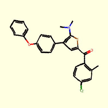 Cc1cc(Cl)ccc1C(=O)c1cc(-c2ccc(Oc3ccccc3)cc2)c(N(C)C)s1